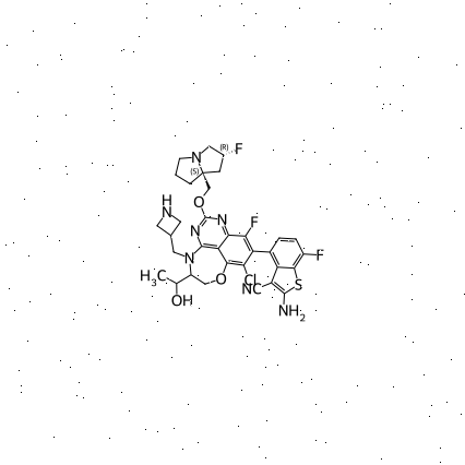 CC(O)C1COc2c(Cl)c(-c3ccc(F)c4sc(N)c(C#N)c34)c(F)c3nc(OC[C@@]45CCCN4C[C@H](F)C5)nc(c23)N1CC1CNC1